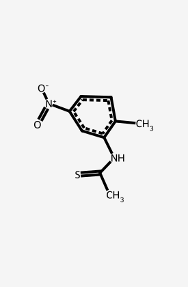 CC(=S)Nc1cc([N+](=O)[O-])ccc1C